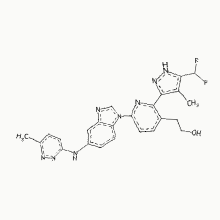 Cc1ccc(Nc2ccc3c(c2)ncn3-c2ccc(CCO)c(-c3n[nH]c(C(F)F)c3C)n2)nn1